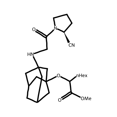 CCCCCCC(OC12CC3CC(CC(NCC(=O)N4CCC[C@H]4C#N)(C3)C1)C2)C(=O)OC